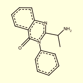 CC(N)c1nc2ccccc2c(=O)n1-c1ccccc1